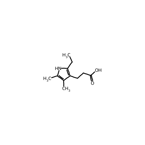 CCc1[nH]c(C)c(C)c1CCC(=O)O